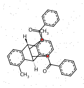 Cc1cccc2c1[C@H]1c3cccc(C)c3[C@H]2C(OC(=O)c2ccccc2)C1OC(=O)c1ccccc1